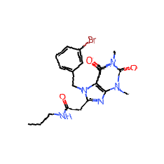 CCCNC(=O)Cc1nc2c(c(=O)n(C)c(=O)n2C)n1Cc1cccc(Br)c1